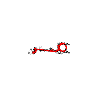 CO[C@H]1C[C@@H]2CC[C@@H](C)[C@@](O)(O2)C(=O)C(=O)N2CCCC[C@H]2C(=O)O[C@H]([C@H](C)C[C@@H]2CC[C@@H](OCCOC/C(=C/NCCOCCOCCOCCOCCC(=O)NCCCCn3nc(-c4ccc5oc(N)nc5c4)c4c(N)ncnc43)N=N)[C@H](OC)C2)CC(=O)[C@H](C)/C=C(\C)[C@@H](O)[C@@H](OC)C(=O)[C@H](C)C[C@H](C)/C=C/C=C/C=C/1C